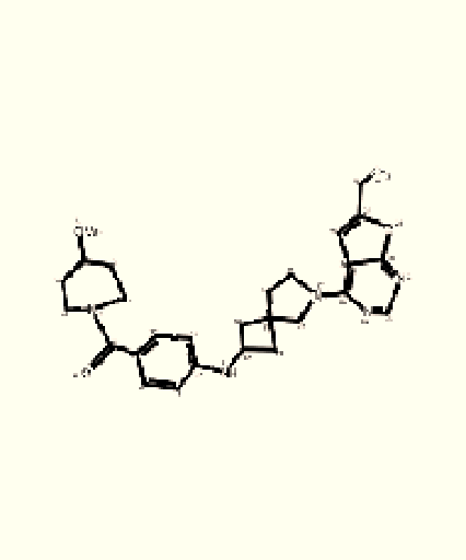 COC1CCN(C(=O)c2ccc(NC3CC4(CCN(c5ncnc6sc(CC(F)(F)F)cc56)C4)C3)cc2)CC1